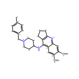 COc1cc2nc3c(c(NC4CCN(Cc5ccc(C)cc5)CC4)c2cc1OC)CCC3